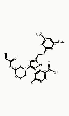 C=CC(=O)NC1CN(c2cc(CCc3cc(OC)cc(OC)c3)[nH]n2)CCO1.Cc1ccc(C(N)=O)cc1